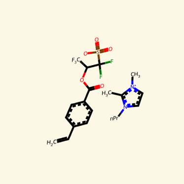 C=Cc1ccc(C(=O)OC(C(F)(F)F)C(F)(F)S(=O)(=O)[O-])cc1.CCCn1cc[n+](C)c1C